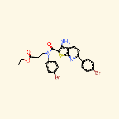 CCOC(=O)CCN(C(=O)c1sc2nc(-c3ccc(Br)cc3)ccc2c1N)c1ccc(Br)cc1